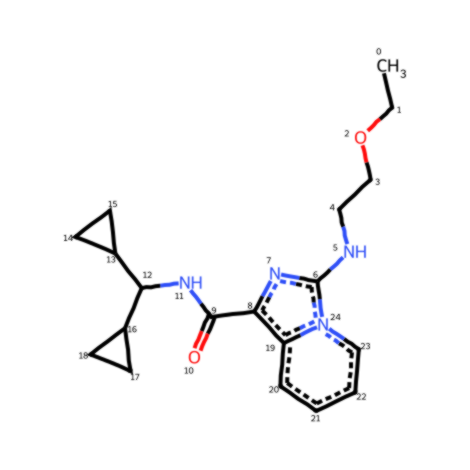 CCOCCNc1nc(C(=O)NC(C2CC2)C2CC2)c2ccccn12